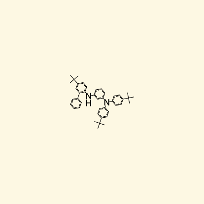 CC(C)(C)c1ccc(N(c2ccc(C(C)(C)C)cc2)c2cccc(Nc3ccc(C(C)(C)C)cc3-c3ccccc3)c2)cc1